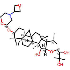 C[C@@H]1C[C@H]([C@H](O)C(C)(C)O)O[C@@H]2C(O)[C@@]3(C)[C@@H]4CC[C@H]5C(C)(C)[C@@H](O[C@H]6CN(C7COC7)CCO6)CC[C@@]56C[C@@]46CC[C@]3(C)[C@@H]12